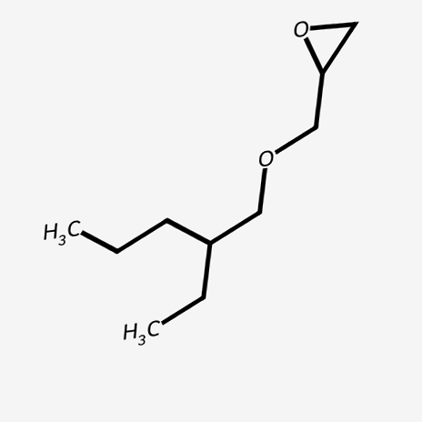 CCCC(CC)COCC1CO1